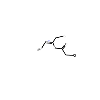 CCC/C=C(/CCl)OC(=O)CCl